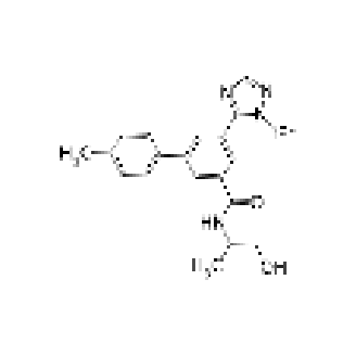 Cc1ccc(-c2cc(C(=O)NC(C)CO)cc(-c3ncnn3C(C)C)c2)cc1